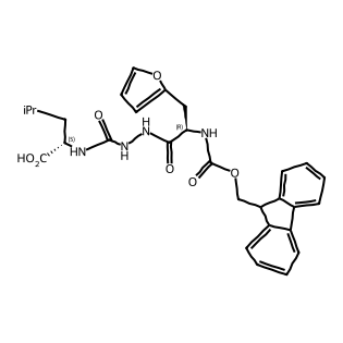 CC(C)C[C@H](NC(=O)NNC(=O)[C@@H](Cc1ccco1)NC(=O)OCC1c2ccccc2-c2ccccc21)C(=O)O